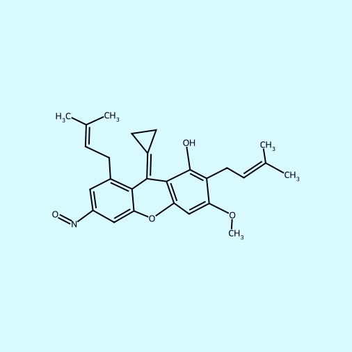 COc1cc2c(c(O)c1CC=C(C)C)C(=C1CC1)c1c(CC=C(C)C)cc(N=O)cc1O2